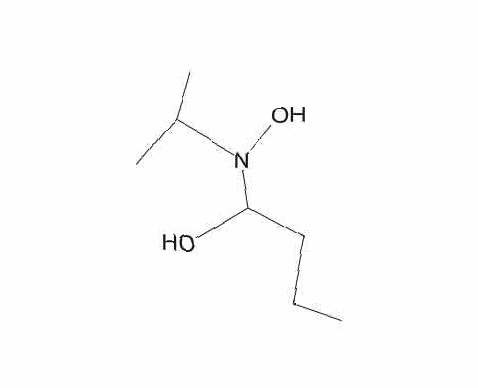 CCCC(O)N(O)C(C)C